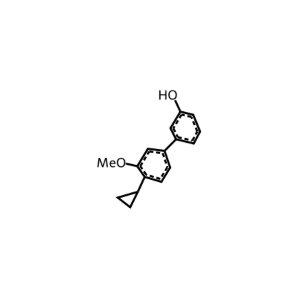 COc1cc(-c2cccc(O)c2)ccc1C1CC1